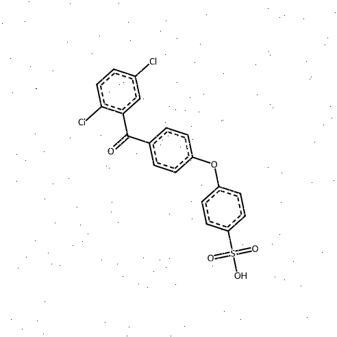 O=C(c1ccc(Oc2ccc(S(=O)(=O)O)cc2)cc1)c1cc(Cl)ccc1Cl